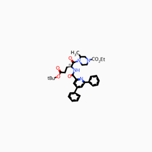 CCOC(=O)N1CCN(C(=O)[C@H](CCC(=O)OC(C)(C)C)NC(=O)c2cc(-c3ccccc3)cc(-c3ccccc3)n2)C(C)C1